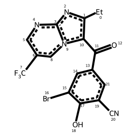 CCc1nc2ncc(C(F)(F)F)cn2c1C(=O)c1cc(Br)c(O)c(C#N)c1